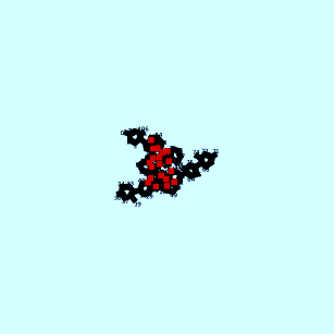 Cc1ccc(-c2ccc3c4ccccc4n(-c4cccc(-n5c6ccccc6c6ccc(-c7ccc(C)cc7C)cc65)c4-c4nc(-c5ccccc5)nc(-c5c(-n6c7ccccc7c7ccc(-c8ccc(C)cc8C)cc76)cccc5-n5c6ccccc6c6ccc(-c7ccc(C)cc7C)cc65)n4)c3c2)c(C)c1